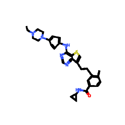 CCN1CCN(c2ccc(Nc3ncnc4c(CCc5cc(C(=O)NC6CC6)ccc5C)csc34)cc2)CC1